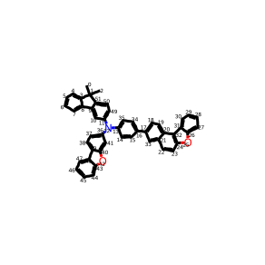 CC1(C)c2ccccc2-c2cc(N(c3ccc(-c4ccc5c(ccc6oc7ccccc7c65)c4)cc3)c3ccc4c(c3)oc3ccccc34)ccc21